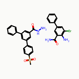 CS(=O)(=O)c1ccc(-c2cc(C(=O)NN)cc(-c3ccccc3)c2)cc1.NC(=O)c1cc(-c2ccccc2)cc(Br)c1N